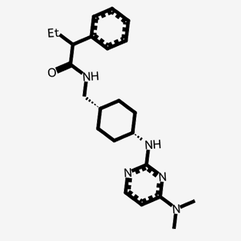 CCC(C(=O)NC[C@H]1CC[C@@H](Nc2nccc(N(C)C)n2)CC1)c1ccccc1